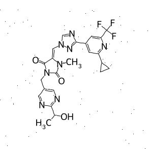 CC(O)c1ncc(CN2C(=O)/C(=C/n3cnc(-c4cc(C5CC5)nc(C(F)(F)F)c4)n3)N(C)C2=O)cn1